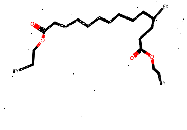 CCC(CCCCCCCCCC(=O)OCCC(C)C)CCC(=O)OCCC(C)C